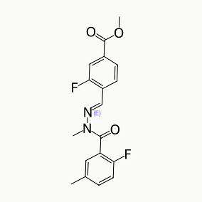 COC(=O)c1ccc(/C=N/N(C)C(=O)c2cc(C)ccc2F)c(F)c1